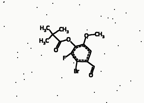 COc1cc(C=O)c(Br)c(F)c1OC(=O)C(C)(C)C